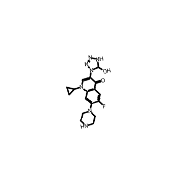 O=c1c(N2N=NNC2O)cn(C2CC2)c2cc(N3CCNCC3)c(F)cc12